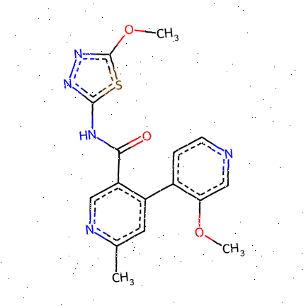 COc1nnc(NC(=O)c2cnc(C)cc2-c2ccncc2OC)s1